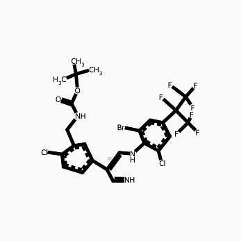 CC(C)(C)OC(=O)NCc1cc(/C(C=N)=C/Nc2c(Cl)cc(C(F)(C(F)(F)F)C(F)(F)F)cc2Br)ccc1Cl